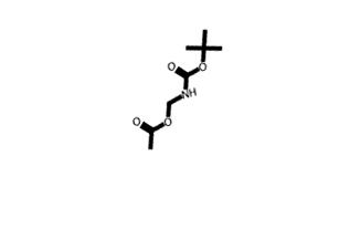 CC(=O)OCNC(=O)OC(C)(C)C